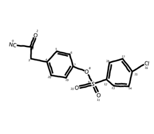 N#CC(=O)Cc1ccc(OS(=O)(=O)c2ccc(Cl)cc2)cc1